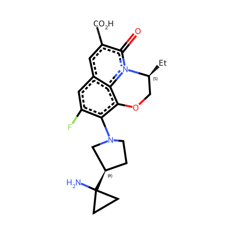 CC[C@H]1COc2c(N3CC[C@@H](C4(N)CC4)C3)c(F)cc3cc(C(=O)O)c(=O)n1c23